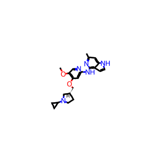 COc1cnc(Nc2nc(C)cc3[nH]ccc23)cc1OC[C@@H]1CCN(C2CC2)C1